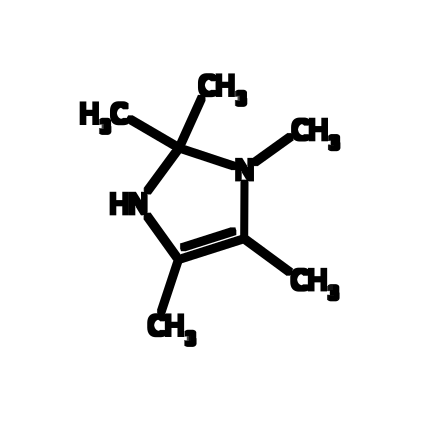 CC1=C(C)N(C)C(C)(C)N1